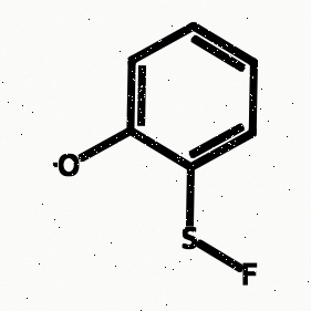 [O]c1ccccc1SF